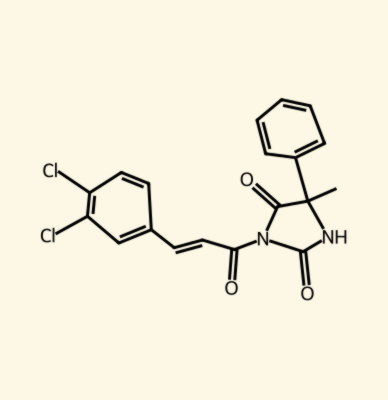 CC1(c2ccccc2)NC(=O)N(C(=O)C=Cc2ccc(Cl)c(Cl)c2)C1=O